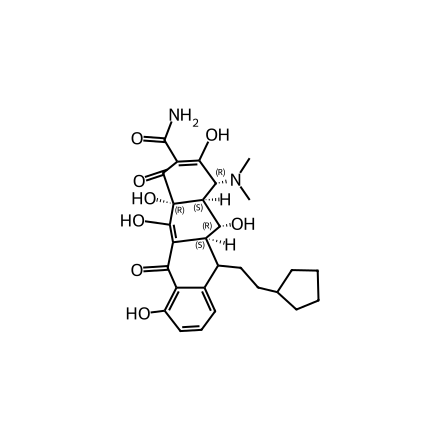 CN(C)[C@H]1C(O)=C(C(N)=O)C(=O)[C@]2(O)C(O)=C3C(=O)c4c(O)cccc4C(CCC4CCCC4)[C@@H]3[C@@H](O)[C@H]12